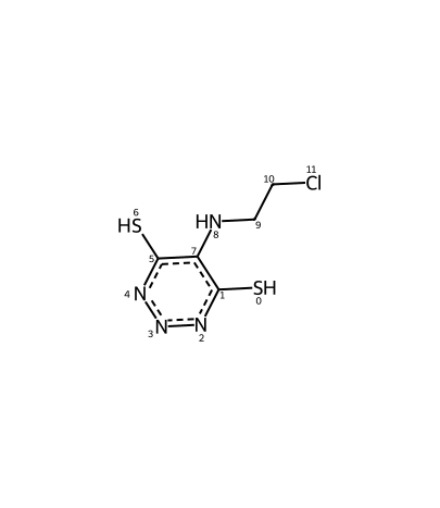 Sc1nnnc(S)c1NCCCl